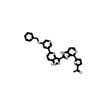 CC(=O)c1ccc(-c2nccc3[nH]c(-c4n[nH]c5ccc(-c6cncc(OCc7ccccc7)c6)nc45)nc23)s1